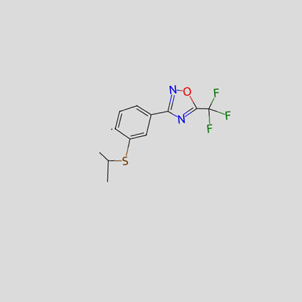 CC(C)Sc1[c]ccc(-c2noc(C(F)(F)F)n2)c1